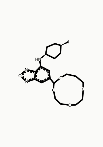 I[C@H]1CC[C@@H](Nc2cc(C3CCCCCCCCCCC3)cc3nonc23)CC1